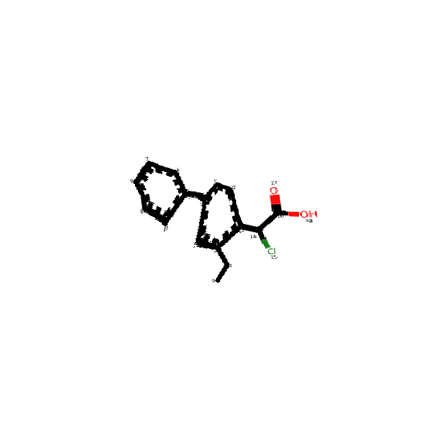 CCc1cc(-c2ccccc2)ccc1C(Cl)C(=O)O